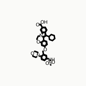 CS(=O)(=O)Nc1ccc(N2CCOCC2)c(COc2ccc3c(c2)OCCn2c-3c(C3CCCCC3)c3ccc(C(=O)O)cc32)c1